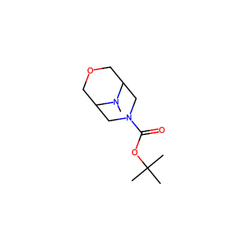 CN1C2COCC1CN(C(=O)OC(C)(C)C)C2